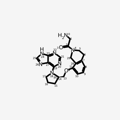 NCC(=O)N1CCc2cccc(OC[C@H]3CCCN3c3ncnc4[nH]cnc34)c2C1